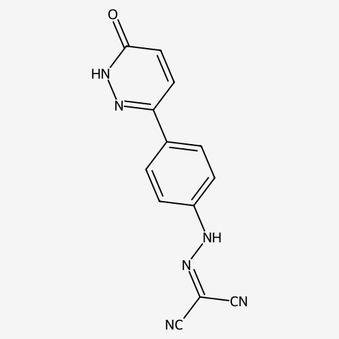 N#CC(C#N)=NNc1ccc(-c2ccc(=O)[nH]n2)cc1